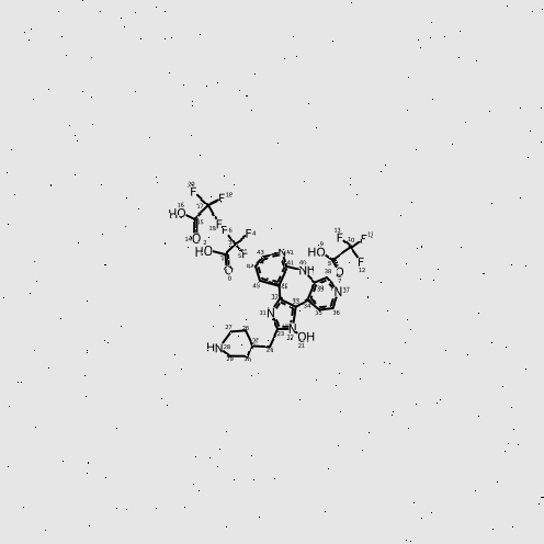 O=C(O)C(F)(F)F.O=C(O)C(F)(F)F.O=C(O)C(F)(F)F.On1c(CC2CCNCC2)nc2c1-c1ccncc1Nc1ncccc1-2